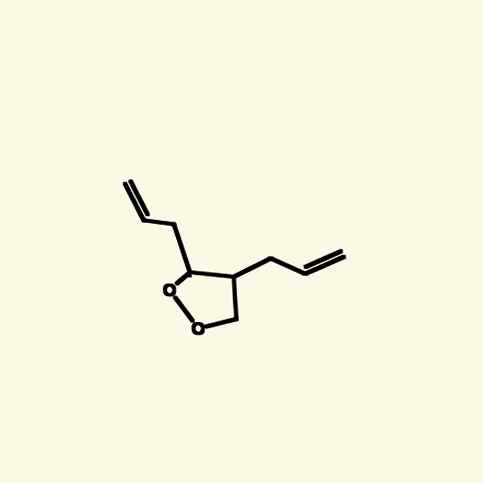 C=CC[C]1OOCC1CC=C